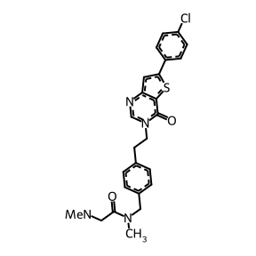 CNCC(=O)N(C)Cc1ccc(CCn2cnc3cc(-c4ccc(Cl)cc4)sc3c2=O)cc1